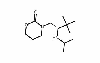 CC(C)N[C@H](CN1CCCOC1=O)C(C)(C)C